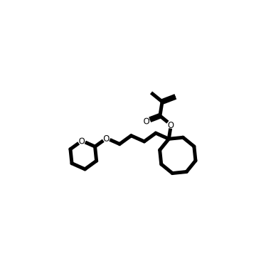 C=C(C)C(=O)OC1(CCCCOC2CCCCO2)CCCCCCC1